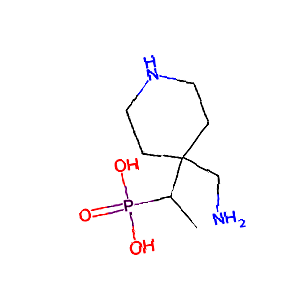 CC(C1(CN)CCNCC1)P(=O)(O)O